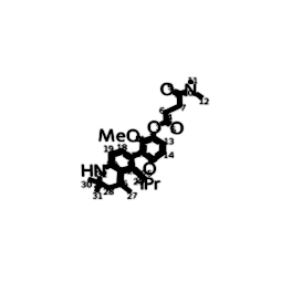 COc1c(OC(=O)CCC(=O)N(C)C)ccc2c1-c1ccc3c(c1=C(C(C)C)O2)=C(C)CC(C)(C)N3